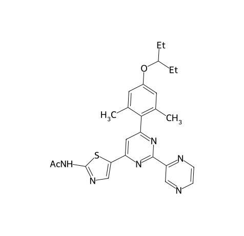 CCC(CC)Oc1cc(C)c(-c2cc(-c3cnc(NC(C)=O)s3)nc(-c3cnccn3)n2)c(C)c1